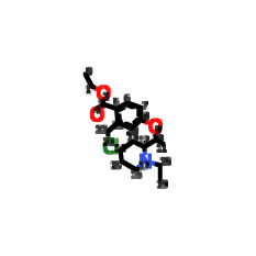 CCOC(=O)c1ccc(OC(C)C2CCCCN2CC)cc1CCl